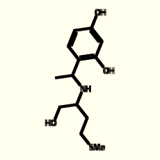 CSCCC(CO)NC(C)c1ccc(O)cc1O